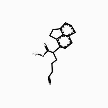 COC(=O)C(CCCC=O)c1ccc2cccc3c2c1CC3